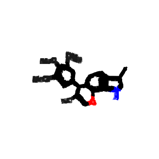 COc1cc(C2C(C#N)=COc3c2ccc2c(C)c[nH]c32)cc(OC)c1OC